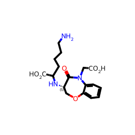 NCCCCC(N[C@H]1COc2ccccc2N(CC(=O)O)C1=O)C(=O)O